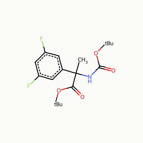 CC(C)(C)OC(=O)NC(C)(C(=O)OC(C)(C)C)c1cc(F)cc(F)c1